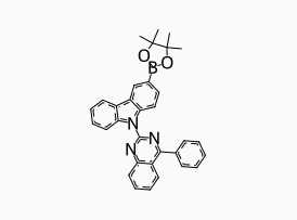 CC1(C)OB(c2ccc3c(c2)c2ccccc2n3-c2nc(-c3ccccc3)c3ccccc3n2)OC1(C)C